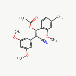 COc1cc(OC)cc(/C(C#N)=C(\OC(C)=O)c2ccc(C)cc2OC)c1